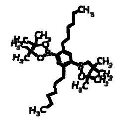 CCCCCCc1cc(B2OC(C)(C)C(C)(C)O2)c(CCCCCC)cc1B1CC(C)(C)C(C)(C)O1